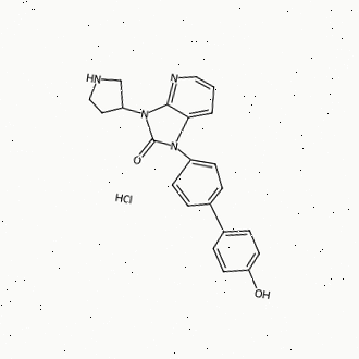 Cl.O=c1n(-c2ccc(-c3ccc(O)cc3)cc2)c2cccnc2n1C1CCNC1